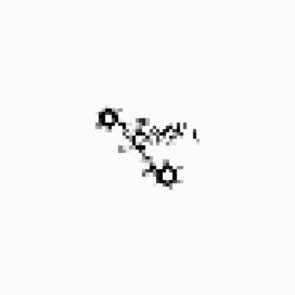 C[Si](C)(C)CCO[C@H]1O[C@H](COC(=O)c2ccccc2)[C@H](O)[C@H](OCc2ccccc2)[C@H]1O